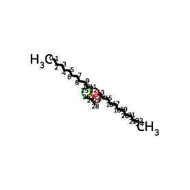 CCCCCCCCCCCCOCCCCCCCCCCCC.ClCC1CO1